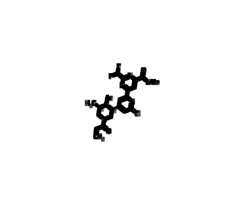 C=CC(=O)N1C[C@@H](C)N(C(C)=O)[C@H](c2cc(Cl)nc(-c3cc(C(=O)NC)nc(C(F)F)n3)c2)C1